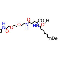 CCCCCCCCCCCCCCCC(=O)NC(CCC(=O)NCCOCCOCC(=O)NC1CCC1)C(=O)O